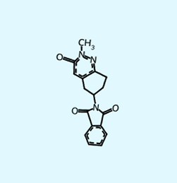 Cn1nc2c(cc1=O)CC(N1C(=O)c3ccccc3C1=O)CC2